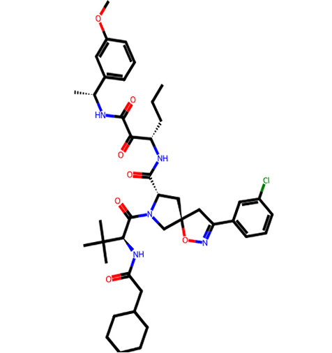 CCC[C@H](NC(=O)[C@@H]1C[C@]2(CC(c3cccc(Cl)c3)=NO2)CN1C(=O)[C@@H](NC(=O)CC1CCCCC1)C(C)(C)C)C(=O)C(=O)N[C@H](C)c1cccc(OC)c1